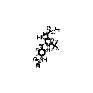 CCOC(=O)c1c[nH]c([C@H](Cc2ccc(N[SH](=O)=O)cc2)NC(=O)C(C)(C)C)n1